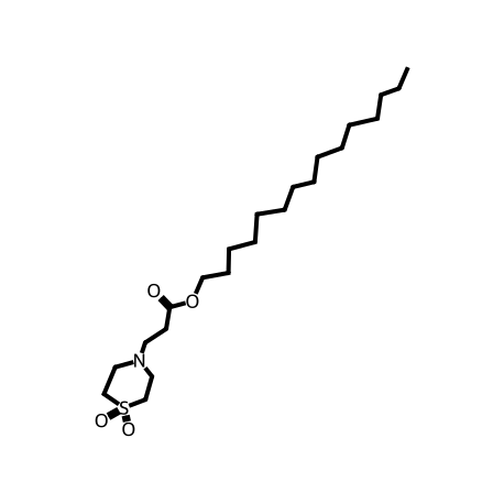 CCCCCCCCCCCCCCCOC(=O)CCN1CCS(=O)(=O)CC1